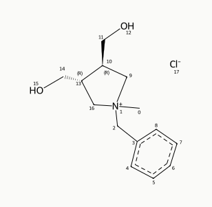 C[N+]1(Cc2ccccc2)C[C@H](CO)[C@@H](CO)C1.[Cl-]